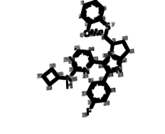 COc1ccccc1SCC1CCc2nc(-c3ccc(F)cc3)c(-c3ccnc(NC4CCC4)n3)n21